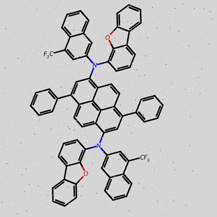 FC(F)(F)c1cc(N(c2cc(-c3ccccc3)c3ccc4c(N(c5cc(C(F)(F)F)c6ccccc6c5)c5cccc6c5oc5ccccc56)cc(-c5ccccc5)c5ccc2c3c54)c2cccc3c2oc2ccccc23)cc2ccccc12